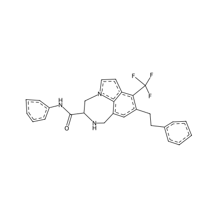 O=C(Nc1ccccc1)C1Cn2ccc3c(C(F)(F)F)c(CCc4ccccc4)cc(c32)CN1